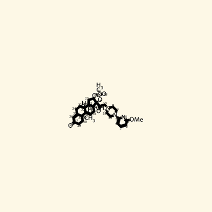 COc1cccc(N2CCN(CC(=O)[C@@]3(OS(C)(=O)=O)CC[C@H]4[C@@H]5CCC6=CC(=O)CC[C@]6(C)C5=CC[C@@]43C)CC2)n1